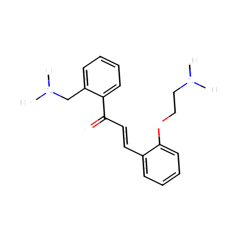 CN(C)CCOc1ccccc1C=CC(=O)c1ccccc1CN(C)C